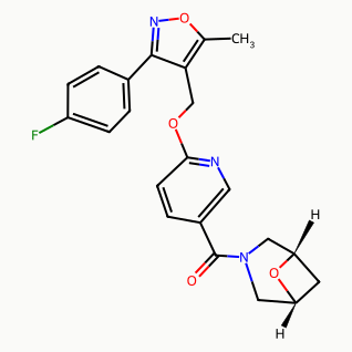 Cc1onc(-c2ccc(F)cc2)c1COc1ccc(C(=O)N2C[C@H]3C[C@@H](C2)O3)cn1